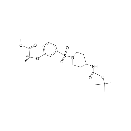 COC(=O)[C@H](C)Oc1cccc(S(=O)(=O)N2CCC(NC(=O)OC(C)(C)C)CC2)c1